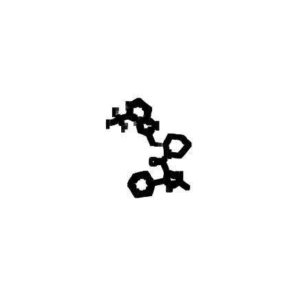 Cc1nc(C(=O)N2CCCC[C@H]2Cc2cn3c(C(F)(F)F)nccc3n2)c(-c2ccccc2)s1